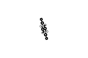 O=C1c2ccc3c4c(ccc(c24)C(=O)N1c1ccc(C2=CCC=C2)cc1)C(=O)N(c1ccc(C2C=CC=C2)cc1)C3=O